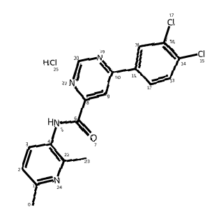 Cc1ccc(NC(=O)c2cc(-c3ccc(Cl)c(Cl)c3)ncn2)c(C)n1.Cl